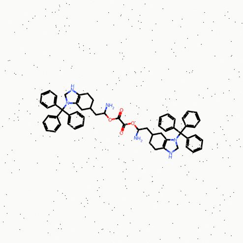 NC(CC1CCC2=C(C1)N(C(c1ccccc1)(c1ccccc1)c1ccccc1)CN2)OC(=O)C(=O)OC(N)CC1CCC2=C(C1)N(C(c1ccccc1)(c1ccccc1)c1ccccc1)CN2